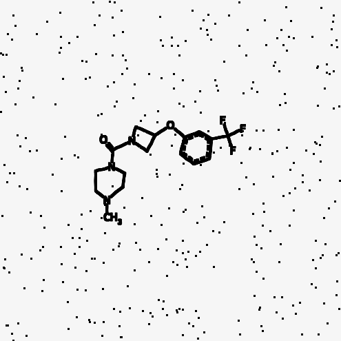 CN1CCN(C(=O)N2CC(Oc3cccc(C(F)(F)F)c3)C2)CC1